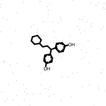 Oc1ccc(C(CCC2CCCCC2)c2ccc(O)cc2)cc1